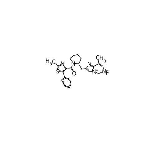 CC1=CN(F)C[N+]2C=C(C[C@@H]3CCCCN3C(=O)c3nc(C)sc3-c3ccccc3)N=C12